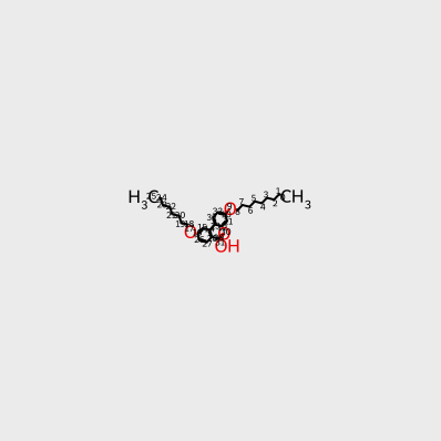 CCCCCCCCCOc1ccc(-c2cc(OCCCCCCCC)ccc2C(=O)O)cc1